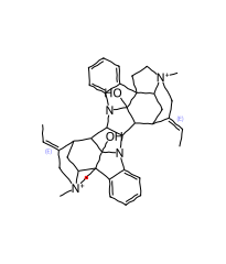 C/C=C1/C[N+]2(C)CCC34c5ccccc5N5C6C(C(C1CC32)C54O)N1c2ccccc2C23CC[N+]4(C)C/C(=C/C)C(CC24)C6C13O